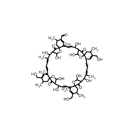 C/C1=C\C=C\C2(C)C=C(CO)C(C)CC23OC(O)C(C3=O)C(O)/C=C/C2(C)C=C(CO)C(C)CC23OC(O)C(C3=O)C(O)/C(C)=C/C=C/C2C=C(CO)C(C)CC23OC(O)C(C3=O)C(O)/C=C/C2(C)C=C(C=O)C(C)CC23OC(O)C(C3=O)C1O